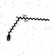 CCCCCCCCCCCCCC[C@@H](O)[C@@H](O)C/C=C(/F)CCCCCCCCCCC12C3=C4CC1C4C32